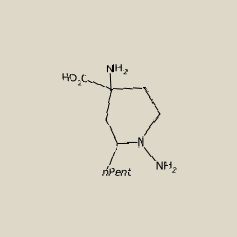 CCCCCC1CC(N)(C(=O)O)CCN1N